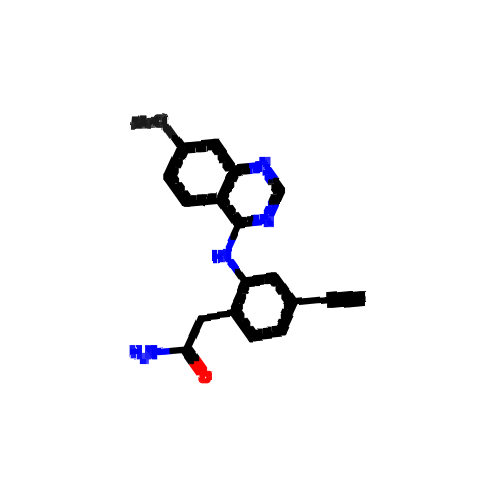 C#Cc1ccc(CC(N)=O)c(Nc2ncnc3cc(OC)ccc23)c1